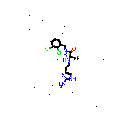 CC(C)C(NCCc1c[nH]c(N)n1)C(=O)NCc1cccc(Cl)c1Cl